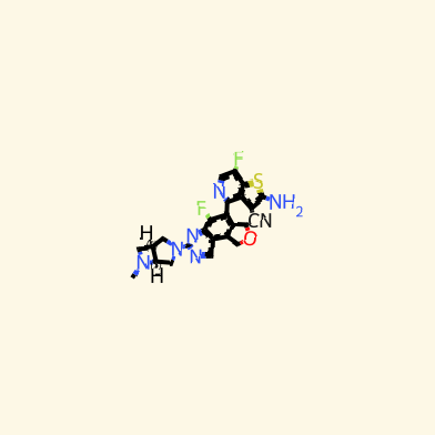 CN1C[C@H]2CN(c3ncc4c5c(c(-c6ncc(F)c7sc(N)c(C#N)c67)c(F)c4n3)COC5)C[C@H]21